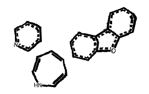 C1=CC=CNC=C1.c1ccc2c(c1)oc1ccccc12.c1ccncc1